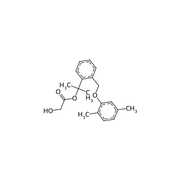 Cc1ccc(C)c(OCc2ccccc2C(C)(C)OC(=O)CO)c1